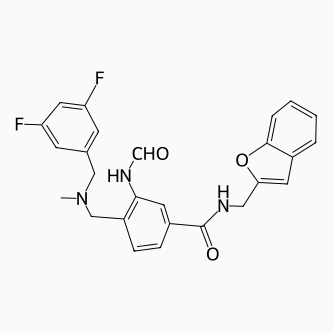 CN(Cc1cc(F)cc(F)c1)Cc1ccc(C(=O)NCc2cc3ccccc3o2)cc1NC=O